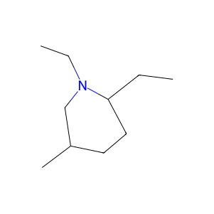 CCC1CCC(C)CN1CC